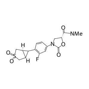 CNC(=O)[C@H]1CN(c2ccc(C3[C@H]4CS(=O)(=O)C[C@@H]34)c(F)c2)C(=O)O1